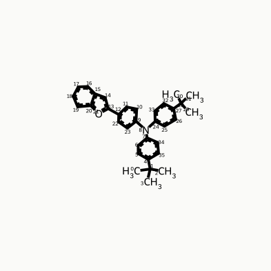 CC(C)(C)c1ccc(N(c2ccc(-c3cc4ccccc4o3)cc2)c2ccc(C(C)(C)C)cc2)cc1